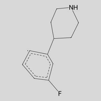 Fc1cc[c]c(C2CCNCC2)c1